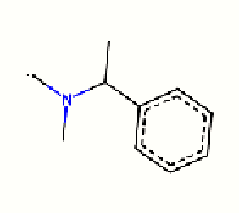 [CH2]N(C)C(C)c1ccccc1